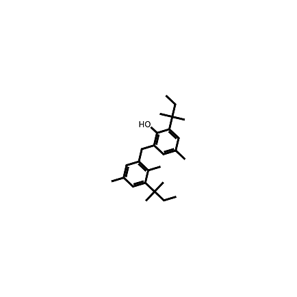 CCC(C)(C)c1cc(C)cc(Cc2cc(C)cc(C(C)(C)CC)c2O)c1C